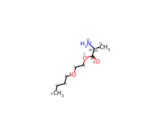 CCCCOCCOC(=O)[C@H](C)N